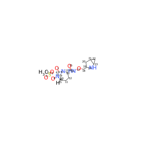 CS(=O)(=O)ON1C(=O)N2C[C@H]1CC[C@H]2C(=O)NOCC1CC2CC2N1